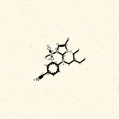 CCC(CC)CN(c1ccc(C#N)cc1)C1SC(C)=CN1S(C)(=O)=O